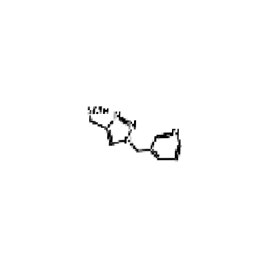 CSCc1cn(Cc2cccnc2)nn1